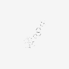 COC(=O)N[C@H](C(=O)N1[C@H](c2nc3c(ccc4cc(B5OC(C)(C)C(C)(C)O5)ccc43)[nH]2)C[C@@H]2CCCC[C@@H]21)C(C)C